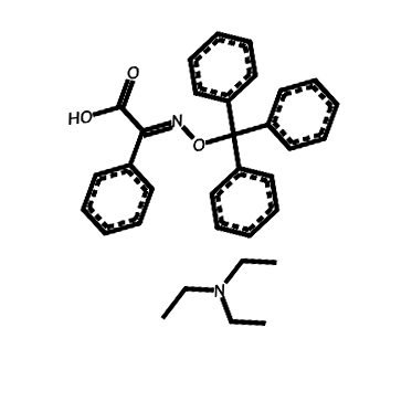 CCN(CC)CC.O=C(O)/C(=N/OC(c1ccccc1)(c1ccccc1)c1ccccc1)c1ccccc1